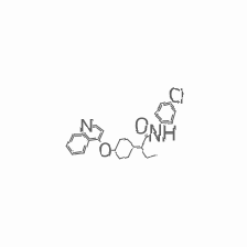 CCC(C(=O)Nc1ccc(Cl)cc1)C1CCC(Oc2ccnc3ccccc23)CC1